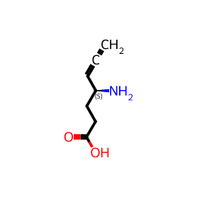 C=C=C[C@@H](N)CCC(=O)O